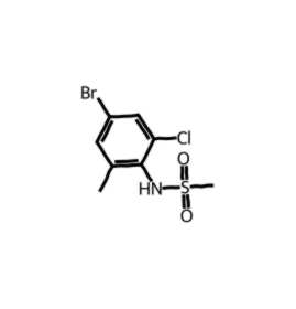 Cc1cc(Br)cc(Cl)c1NS(C)(=O)=O